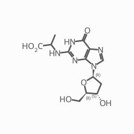 CC(Nc1nc2c(ncn2[C@H]2C[C@H](O)[C@@H](CO)O2)c(=O)[nH]1)C(=O)O